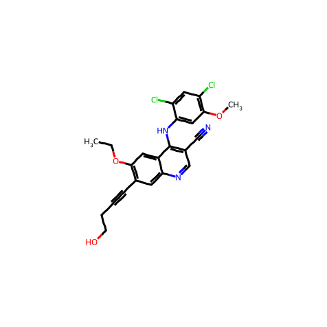 CCOc1cc2c(Nc3cc(OC)c(Cl)cc3Cl)c(C#N)cnc2cc1C#CCCO